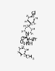 Cc1cccc(C(=O)N[C@@H](C(=O)N2CCC(c3ccc(Cl)cc3)CC2)C(C)C)c1